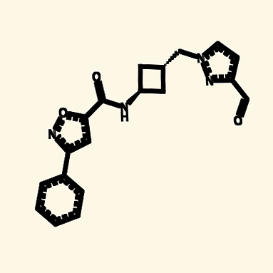 O=Cc1ccn(C[C@H]2C[C@H](NC(=O)c3cc(-c4ccccc4)no3)C2)n1